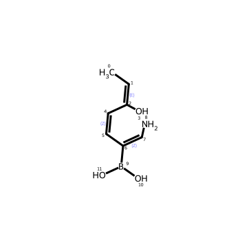 C\C=C(O)/C=C\C(=C/N)B(O)O